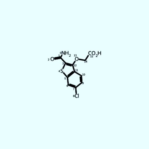 NC(=O)c1sc2cc(Cl)ccc2c1OCC(=O)O